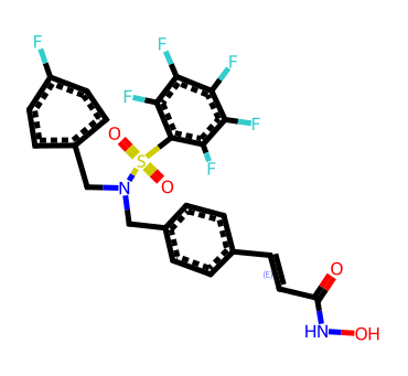 O=C(/C=C/c1ccc(CN(Cc2ccc(F)cc2)S(=O)(=O)c2c(F)c(F)c(F)c(F)c2F)cc1)NO